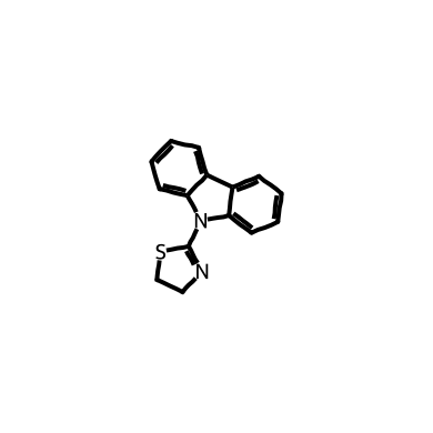 c1ccc2c(c1)c1ccccc1n2C1=NCCS1